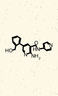 Nc1ncc(-c2ccccc2CO)cc1C(=O)Nc1ccncc1